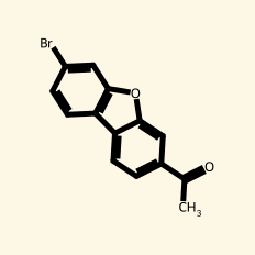 CC(=O)c1ccc2c(c1)oc1cc(Br)ccc12